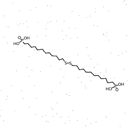 O=P(O)(O)CCCCCCCCCCCCSSCCCCCCCCCCCCP(=O)(O)O